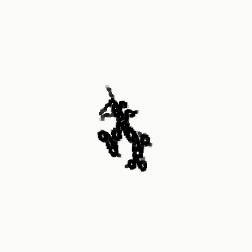 CCCCc1cc(CCCC)cc(N(c2ccccc2)c2cc(CCCC)cc(N(c3ccc(C)cc3)c3ccc(N(c4ccc(N(c5ccccc5)c5cccc(C)c5)cc4)c4ccc(N(c5ccc(N(c6ccc(C)cc6)c6ccccc6C)cc5)c5cc(C)ccc5C)cc4)cc3)c2)c1